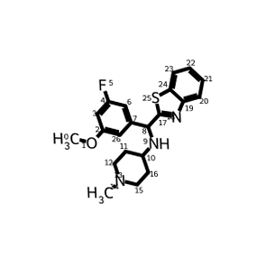 COc1cc(F)cc(C(NC2CCN(C)CC2)c2nc3ccccc3s2)c1